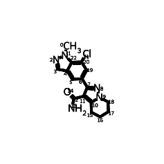 Cn1ncc2cc(-c3nn4c(c3C(N)=O)CCCC4)cc(Cl)c21